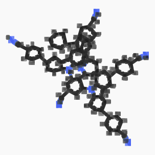 N#Cc1ccc(-c2ccc3c(c2)c2cc(-c4ccc(C#N)cc4)ccc2n3-c2cc(C#N)cc(-n3c4ccc(-c5ccc(C#N)cc5)cc4c4cc(-c5ccc(C#N)cc5)ccc43)c2-c2cccc(-c3cccc(-c4ccccc4)c3)n2)cc1